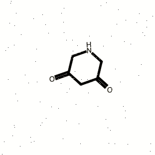 O=C1CNCC(=O)C1